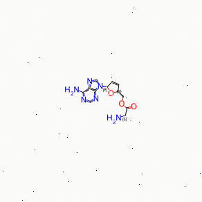 C[C@H](N)C(=O)OC[C@@H]1C=C[C@H](n2cnc3c(N)ncnc32)O1